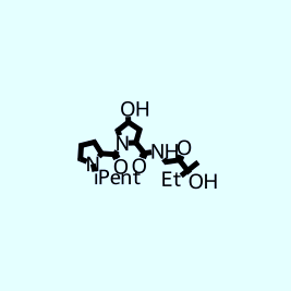 CCCC(C)N1CCCC1C(=O)N1CC(O)CC1C(=O)NCC(=O)C(C)(O)CC